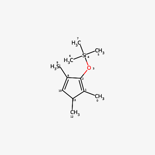 CC1=C(O[Si](C)(C)C)C([SiH3])=CC1C